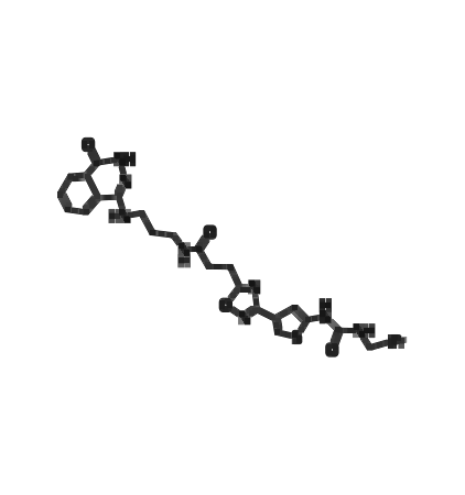 CC(C)CNC(=O)Nc1cc(-c2noc(CCC(=O)NCCCNc3n[nH]c(=O)c4ccccc34)n2)cs1